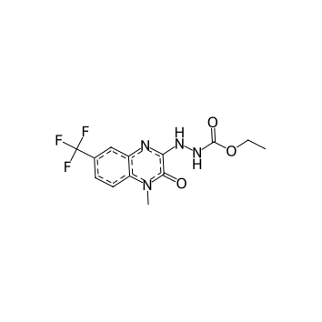 CCOC(=O)NNc1nc2cc(C(F)(F)F)ccc2n(C)c1=O